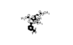 COC(=O)OC[C@H]1O[C@H](OC(C)=O)[C@H](OC(=O)c2cccc(C(F)(F)F)c2)[C@]1(O)S(C)(=O)=O